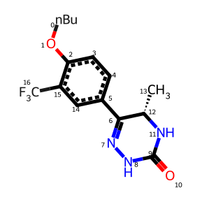 CCCCOc1ccc(C2=NNC(=O)N[C@H]2C)cc1C(F)(F)F